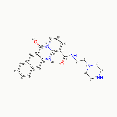 O=C(NCCN1CCNCC1)c1cccn2c(=O)c3cc4ccccc4cc3nc12